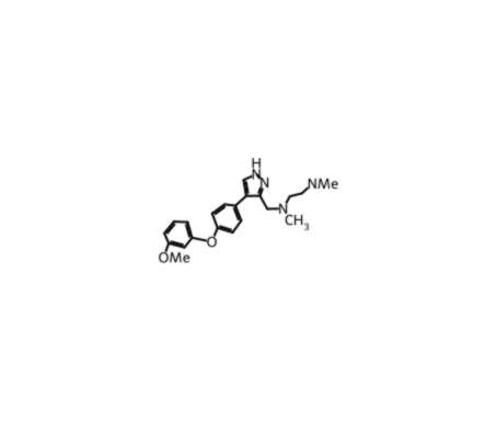 CNCCN(C)Cc1n[nH]cc1-c1ccc(Oc2cccc(OC)c2)cc1